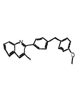 COc1ccc(Cc2ccc(-c3nc4ccccc4cc3C)cc2)cc1